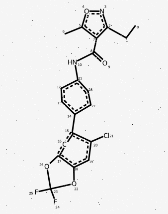 CCc1noc(C)c1C(=O)Nc1ccc(-c2cc3c(cc2Cl)OC(F)(F)O3)cc1